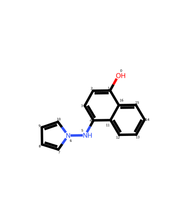 Oc1ccc(Nn2cccc2)c2ccccc12